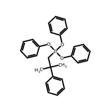 CC(C)([CH2][Zr]([O]c1ccccc1)([O]c1ccccc1)[O]c1ccccc1)c1ccccc1